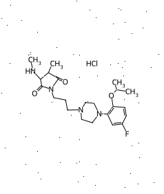 CNC1C(=O)N(CCCN2CCN(c3cc(F)ccc3OC(C)C)CC2)C(=O)C1C.Cl